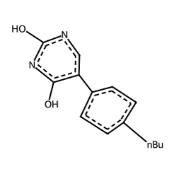 CCCCc1ccc(-c2cnc(O)nc2O)cc1